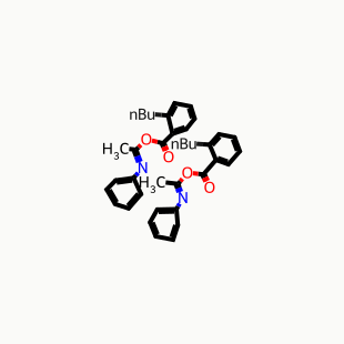 CCCCc1ccccc1C(=O)OC(C)=Nc1ccccc1.CCCCc1ccccc1C(=O)OC(C)=Nc1ccccc1